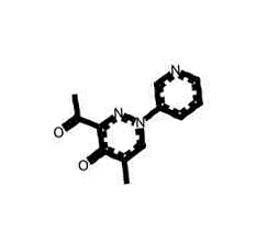 CC(=O)c1nn(-c2cccnc2)cc(C)c1=O